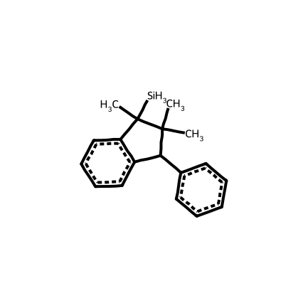 CC1([SiH3])c2ccccc2C(c2ccccc2)C1(C)C